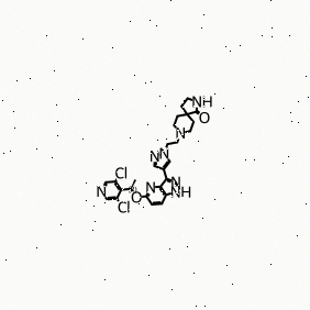 C[C@@H](Oc1ccc2[nH]nc(-c3cnn(CCN4CCC5(CCNC5=O)CC4)c3)c2n1)c1c(Cl)cncc1Cl